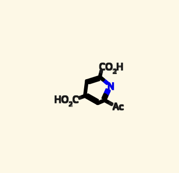 CC(=O)c1cc(C(=O)O)cc(C(=O)O)n1